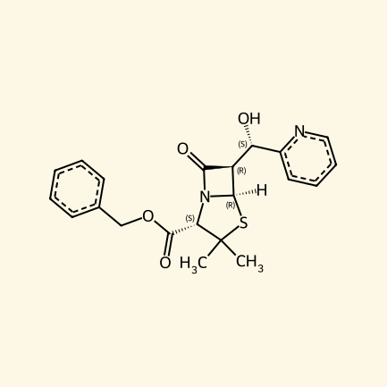 CC1(C)S[C@@H]2[C@H]([C@H](O)c3ccccn3)C(=O)N2[C@H]1C(=O)OCc1ccccc1